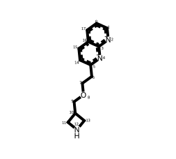 c1cnc2nc(CCOCC3CNC3)ccc2c1